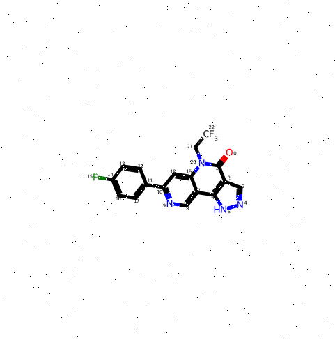 O=c1c2cn[nH]c2c2cnc(-c3ccc(F)cc3)cc2n1CC(F)(F)F